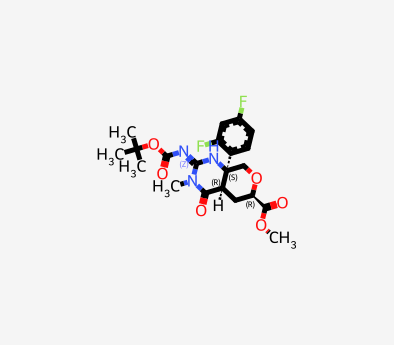 COC(=O)[C@H]1C[C@H]2C(=O)N(C)/C(=N\C(=O)OC(C)(C)C)N[C@@]2(c2ccc(F)cc2F)CO1